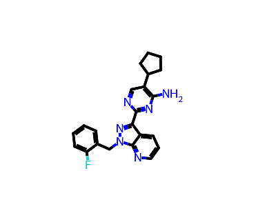 Nc1nc(-c2nn(Cc3ccccc3F)c3ncccc23)ncc1C1CCCC1